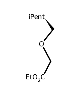 CCC[C@H](C)COCC(=O)OCC